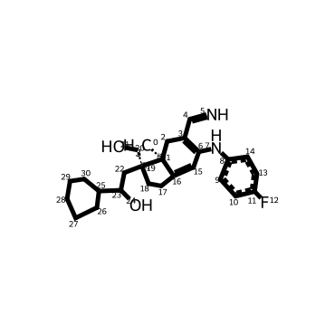 C[C@]12CC(C=N)=C(Nc3ccc(F)cc3)C=C1CC[C@@]2(CO)CC(O)C1CCCCC1